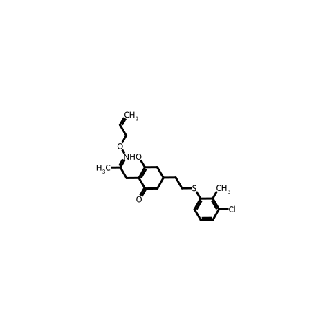 C=CCON=C(C)CC1=C(O)CC(CCSc2cccc(Cl)c2C)CC1=O